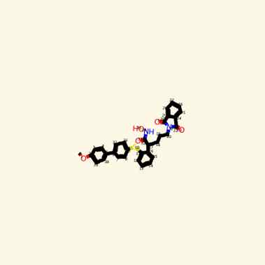 COc1ccc(-c2ccc(Sc3ccccc3C(CCCN3C(=O)c4ccccc4C3=O)C(=O)NO)cc2)cc1